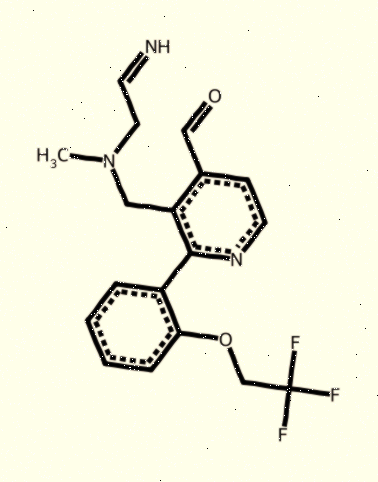 CN(CC=N)Cc1c(C=O)ccnc1-c1ccccc1OCC(F)(F)F